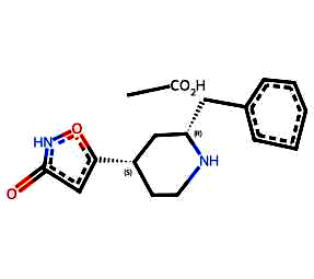 CC(=O)O.O=c1cc([C@H]2CCN[C@@H](Cc3ccccc3)C2)o[nH]1